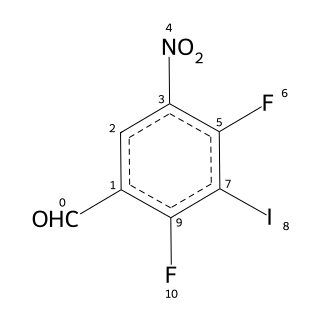 O=Cc1cc([N+](=O)[O-])c(F)c(I)c1F